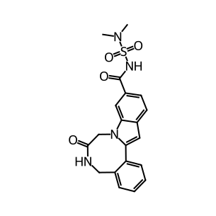 CN(C)S(=O)(=O)NC(=O)c1ccc2cc3n(c2c1)CC(=O)NCc1ccccc1-3